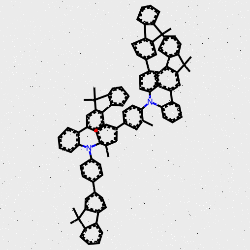 Cc1cc(-c2ccc(N(c3ccc(-c4ccc5c(c4)C(C)(C)c4ccccc4-5)cc3)c3ccccc3-c3ccc4c(c3)C(C)(C)c3ccccc3-4)c(C)c2)ccc1N(c1ccc(-c2ccc3c(c2)C(C)(C)c2ccccc2-3)cc1)c1ccccc1-c1ccc2c(c1)C(C)(C)c1ccccc1-2